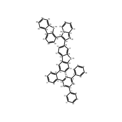 c1ccc(-c2nc(-c3ccccc3)nc(-c3ccccc3-c3ccc4sc5cc(-c6nc7ccccn7c6-c6cccc7c6sc6ccccc67)ccc5c4c3)n2)cc1